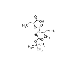 CCC(OC(=O)[C@@H](NC(=O)OC(C)(C)C)C(C)CC)C(=O)O